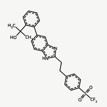 CC(C)(O)c1ccccc1-c1ccc2[nH]c(CCc3ccc(S(=O)(=O)C(F)(F)F)cc3)nc2c1